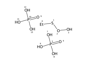 CCSOO.O=P(O)(O)O.O=P(O)(O)O